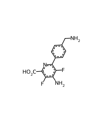 NCc1ccc(-c2nc(C(=O)O)c(F)c(N)c2F)cc1